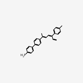 C=C/C(=C\C=C(/C)c1ccc(-c2ccc(P)cc2)cc1)c1ccc(C)cc1